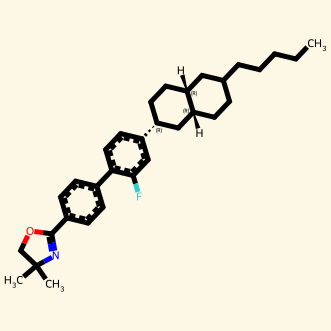 CCCCCC1CC[C@@H]2C[C@H](c3ccc(-c4ccc(C5=NC(C)(C)CO5)cc4)c(F)c3)CC[C@@H]2C1